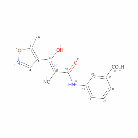 Cc1oncc1/C(O)=C(\C#N)C(=O)Nc1cccc(C(=O)O)c1